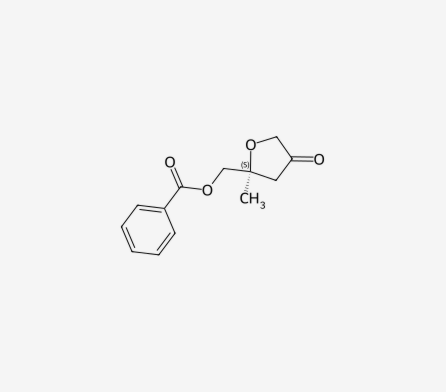 C[C@@]1(COC(=O)c2ccccc2)CC(=O)CO1